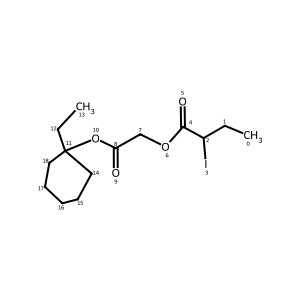 CCC(I)C(=O)OCC(=O)OC1(CC)CCCCC1